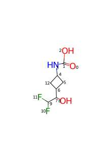 O=C(O)NC1CC(C(O)C(F)F)C1